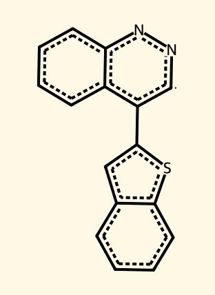 [c]1nnc2ccccc2c1-c1cc2ccccc2s1